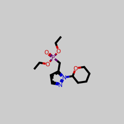 CCOP(=O)(Cc1ccnn1C1CCCCO1)OCC